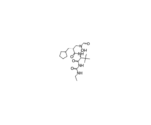 CCNC(=O)NC(=O)[C@@H](NC(=O)[C@H](CC1CCCC1)CN(O)C=O)C(C)(C)C